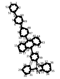 c1ccc(-c2ccc(-c3ccc(-c4c5ccccc5c(-c5ccc(-n6c(-c7ccccc7)nc7ccccc76)cc5)c5ccccc45)cc3)cc2)cc1